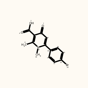 Cc1c(C(=O)O)c(=O)cc(-c2ccc(Br)cc2)n1C